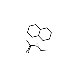 C1CCC2CCCCC2C1.CCOC(C)=O